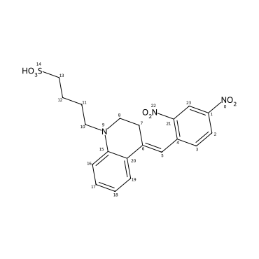 O=[N+]([O-])c1ccc(C=C2CCN(CCCCS(=O)(=O)O)c3ccccc32)c([N+](=O)[O-])c1